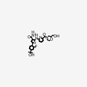 CC(C)(O)c1ccc(-c2cc(C(N)=O)c(Nc3cccc(C(=O)N4CCOC(CO)C4)n3)s2)c(F)c1